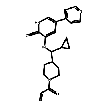 C=CC(=O)N1CCC(C(Nc2cc(-c3ccncc3)c[nH]c2=O)C2CC2)CC1